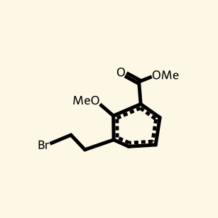 COC(=O)c1cccc(CCBr)c1OC